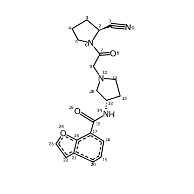 N#C[C@@H]1CCCN1C(=O)CN1CC[C@H](NC(=O)c2cccc3ccoc23)C1